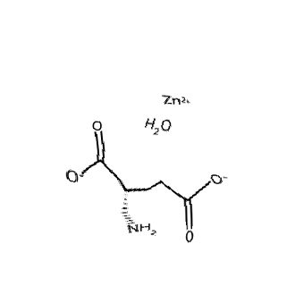 N[C@@H](CC(=O)[O-])C(=O)[O-].O.[Zn+2]